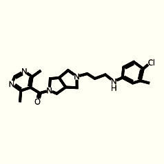 Cc1cc(NCCCN2CC3CN(C(=O)c4c(C)ncnc4C)CC3C2)ccc1Cl